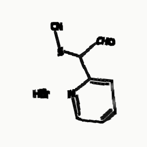 Br.N#CSC(C=O)c1ccccn1